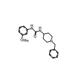 COc1cccc(NC(=O)NC2CCN(Cc3ccccc3)CC2)c1